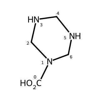 O=C(O)N1CNCNC1